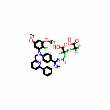 CCOc1cc(OC(C)C)c(F)c(N(Cc2cccc(-c3ccccc3)n2)c2ccc(C(=N)N)cc2)c1.O=C(O)C(F)(F)F.O=C(O)C(F)(F)F